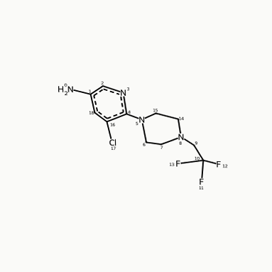 Nc1cnc(N2CCN(CC(F)(F)F)CC2)c(Cl)c1